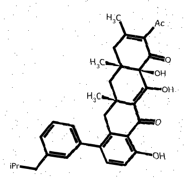 CC(=O)C1=C(C)C[C@@]2(C)C[C@@]3(C)Cc4c(-c5cccc(CC(C)C)c5)ccc(O)c4C(=O)C3=C(O)[C@@]2(O)C1=O